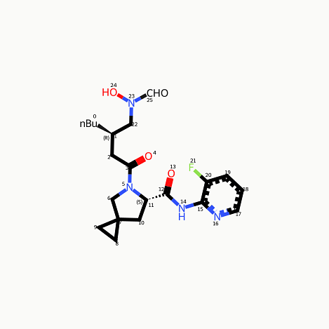 CCCC[C@H](CC(=O)N1CC2(CC2)C[C@H]1C(=O)Nc1ncccc1F)CN(O)C=O